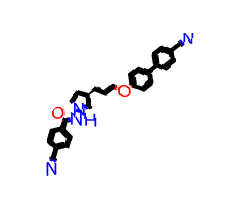 N#Cc1ccc(C(=O)NN2CC[C@@H](CCCOc3ccc(-c4ccc(C#N)cc4)cc3)C2)cc1